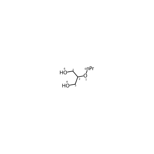 C[CH]COC(CO)CO